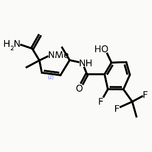 C=C(N)C(C)(/C=C\C(C)NC(=O)c1c(O)ccc(C(C)(F)F)c1F)NC